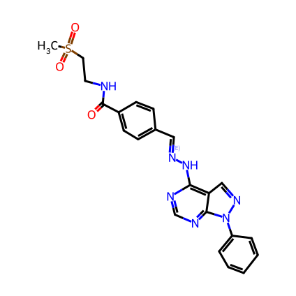 CS(=O)(=O)CCNC(=O)c1ccc(/C=N/Nc2ncnc3c2cnn3-c2ccccc2)cc1